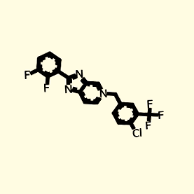 Fc1cccc(-c2nc3ccn(Cc4ccc(Cl)c(C(F)(F)F)c4)cc-3n2)c1F